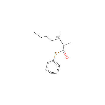 CCCC[C@H](C)C(C)C(=O)Sc1ccccc1